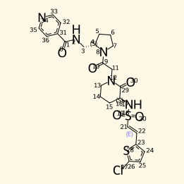 O=C(NC[C@@H]1CCCN1C(=O)CN1CCC[C@H](NS(=O)(=O)/C=C/c2ccc(Cl)s2)C1=O)c1ccncc1